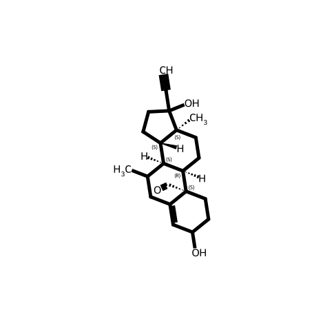 C#CC1(O)CC[C@H]2[C@@H]3C(C)CC4=CC(O)CC[C@]4(C=O)[C@@H]3CC[C@@]21C